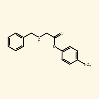 O=C(CNCc1ccccc1)Oc1ccc([N+](=O)[O-])cc1